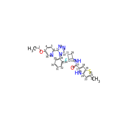 CCOc1ccc(-c2nnc([C@H]3C[C@H](NC(=O)c4cc5sc(C)cc5[nH]4)C3)n2-c2ccccc2F)nc1